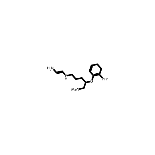 CCCC1=C(OC(CCCP/C=C/N)CNC)C=CCC1